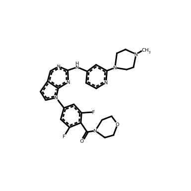 CN1CCN(c2cc(Nc3ncc4ccn(-c5cc(F)c(C(=O)N6CCOCC6)c(F)c5)c4n3)ccn2)CC1